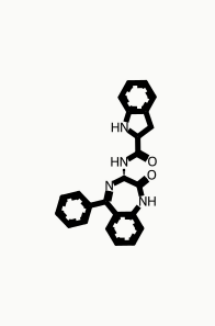 O=C(N[C@H]1N=C(c2ccccc2)c2ccccc2NC1=O)C1Cc2ccccc2N1